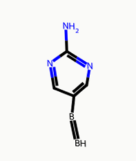 B=Bc1cnc(N)nc1